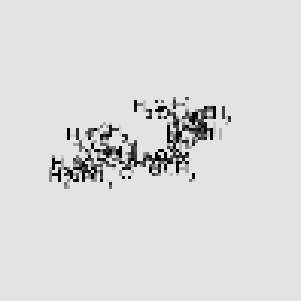 COc1ccc2c3c1O[C@H]1C(OC(=O)[C@H](C)OC(=O)CCNC(=O)[C@H](CCC(=O)OC(C)(C)C)NC(=O)OC(C)(C)C)=CC[C@@]4(O)[C@@H](C2)N(C)CC[C@]314